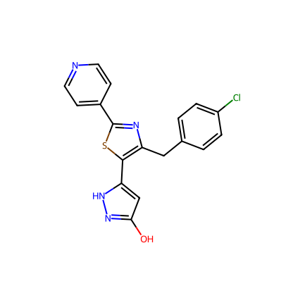 Oc1cc(-c2sc(-c3ccncc3)nc2Cc2ccc(Cl)cc2)[nH]n1